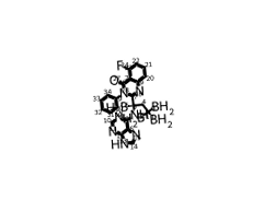 BC(B)(B)C[C@](B)(Nc1ncnc2[nH]cnc12)c1nc2cccc(F)c2c(=O)n1-c1ccccc1